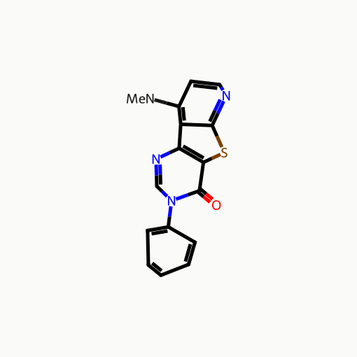 CNc1ccnc2sc3c(=O)n(-c4ccccc4)cnc3c12